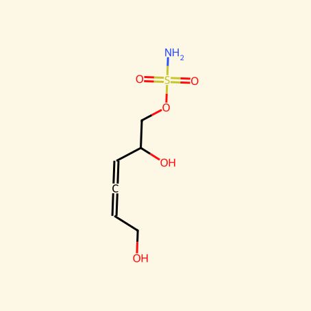 NS(=O)(=O)OCC(O)C=C=CCO